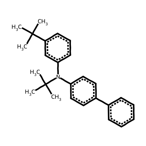 CC(C)(C)c1cccc(N(c2ccc(-c3ccccc3)cc2)C(C)(C)C)c1